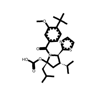 COc1cc(C(=O)N2[C@@H](c3nccs3)[C@H](C(C)C)C[C@]2(CC(C)C)OC(=O)O)ccc1C(C)(C)C